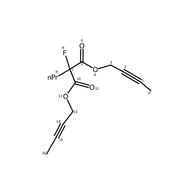 CC#CCOC(=O)C(F)(CCC)C(=O)OCC#CC